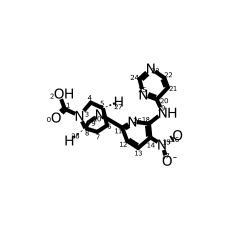 O=C(O)N1C[C@H]2CC[C@@H]1CN2c1ccc([N+](=O)[O-])c(Nc2ccncn2)n1